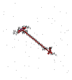 CC[N+]1=C(/C=C/C=C/C=C2\N(CCCCCC(=O)NCCNC(=O)CCOCCOCCOCCOCCOCCOCCOCCOCCOCCOCCOCCOCCNC(=O)CCCCC[n+]3c(-c4ccccc4)c4cc(N)ccc4c4ccc(N=[N+]=[N-])cc43)c3ccc(C)cc3C2(C)C)C(C)(C)c2cc(C)ccc21